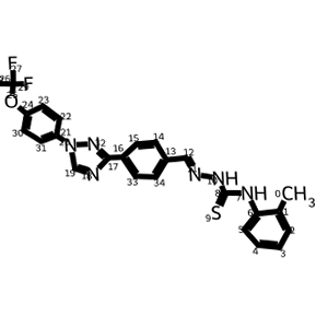 Cc1ccccc1NC(=S)NN=Cc1ccc(-c2ncn(-c3ccc(OC(F)(F)F)cc3)n2)cc1